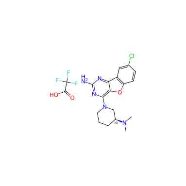 CN(C)[C@H]1CCCN(c2nc(N)nc3c2oc2ccc(Cl)cc23)C1.O=C(O)C(F)(F)F